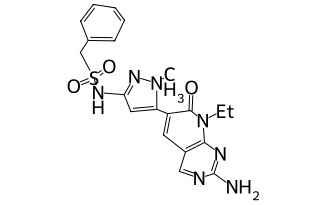 CCn1c(=O)c(-c2cc(NS(=O)(=O)Cc3ccccc3)nn2C)cc2cnc(N)nc21